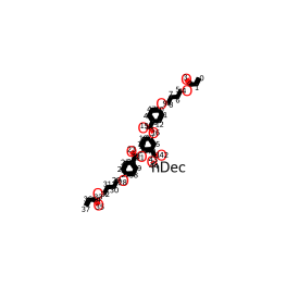 C=CC(=O)OCCCCOc1ccc(C(=O)Oc2ccc(OC(=O)c3ccc(OCCCCOC(=O)C=C)cc3)c(C(=O)OCCCCCCCCCC)c2)cc1